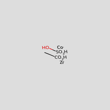 CC(=O)O.O=S(=O)(O)O.[Co].[Zr]